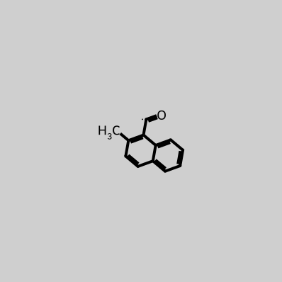 Cc1ccc2ccccc2c1[C]=O